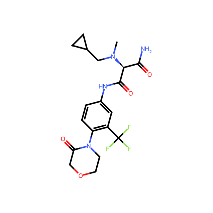 CN(CC1CC1)[C@@H](C(N)=O)C(=O)Nc1ccc(N2CCOCC2=O)c(C(F)(F)F)c1